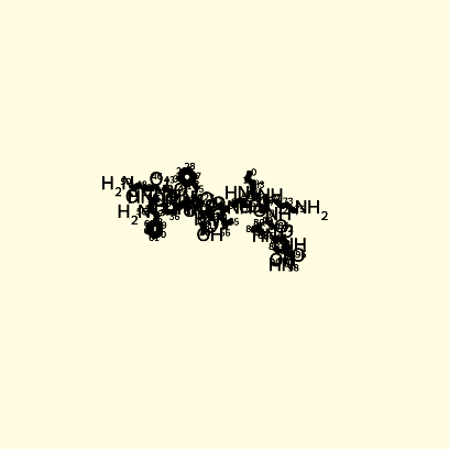 CC[C@H](C)[C@H](NC(=O)CNC(=O)[C@@H](NC(=O)[C@H](CC(=O)O)NC(=O)[C@H](Cc1ccccc1)NC(=O)C1CCCN1C(=O)[C@H](C)NC(=O)[C@H](CC(N)=O)NC(=O)[C@@H](N)Cc1ccccc1)C(C)C)C(=O)N[C@@H](CCCCN)C(=O)N[C@@H](CC(C)C)C(=O)N[C@@H](CCO)C(=O)NCC(=O)NC